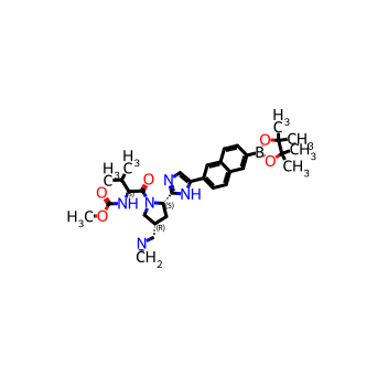 C=NC[C@H]1C[C@@H](c2ncc(-c3ccc4cc(B5OC(C)(C)C(C)(C)O5)ccc4c3)[nH]2)N(C(=O)[C@@H](NC(=O)OC)C(C)C)C1